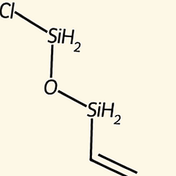 C=C[SiH2]O[SiH2]Cl